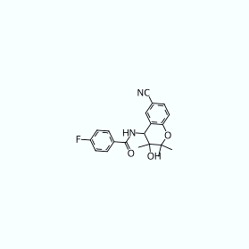 CC1(C)Oc2ccc(C#N)cc2C(NC(=O)c2ccc(F)cc2)C1(C)O